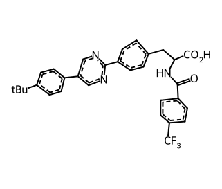 CC(C)(C)c1ccc(-c2cnc(-c3ccc(CC(NC(=O)c4ccc(C(F)(F)F)cc4)C(=O)O)cc3)nc2)cc1